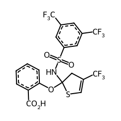 O=C(O)c1ccccc1OC1(NS(=O)(=O)c2cc(C(F)(F)F)cc(C(F)(F)F)c2)CC(C(F)(F)F)=CS1